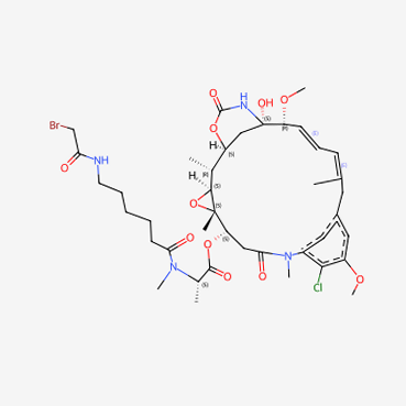 COc1cc2cc(c1Cl)N(C)C(=O)C[C@H](OC(=O)[C@H](C)N(C)C(=O)CCCCCNC(=O)CBr)[C@]1(C)O[C@H]1[C@H](C)[C@@H]1C[C@@](O)(NC(=O)O1)[C@H](OC)/C=C/C=C(\C)C2